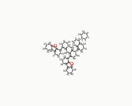 c1ccc(-c2ccc(-c3c4cccc(-c5cccc6c5oc5ccccc56)c4cc4c(-c5cccc6c5oc5ccccc56)cccc34)c3ccccc23)cc1